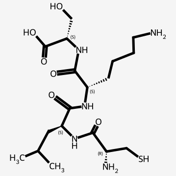 CC(C)C[C@H](NC(=O)[C@@H](N)CS)C(=O)N[C@@H](CCCCN)C(=O)N[C@@H](CO)C(=O)O